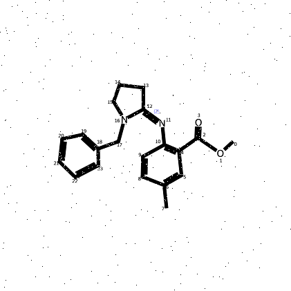 COC(=O)c1cc(C)ccc1/N=C1/CCCN1Cc1ccccc1